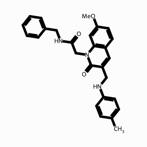 COc1ccc2cc(CNc3ccc(C)cc3)c(=O)n(CC(=O)NCc3ccccc3)c2c1